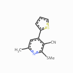 CSc1nc(C)cc(-c2cccs2)c1C#N